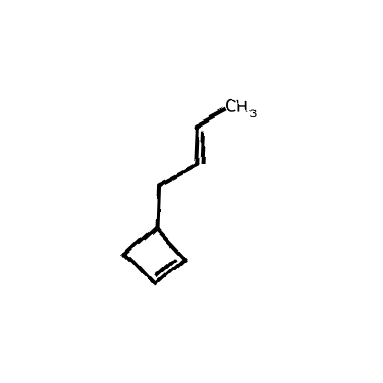 CC=CCC1C=CC1